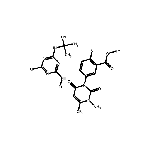 CC(C)OC(=O)c1cc(-n2c(=O)cc(C(F)(F)F)n(C)c2=O)ccc1Cl.CCNc1nc(Cl)nc(NC(C)(C)C#N)n1